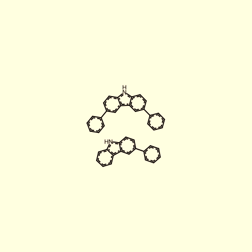 c1ccc(-c2ccc3[nH]c4ccc(-c5ccccc5)cc4c3c2)cc1.c1ccc(-c2ccc3[nH]c4ccccc4c3c2)cc1